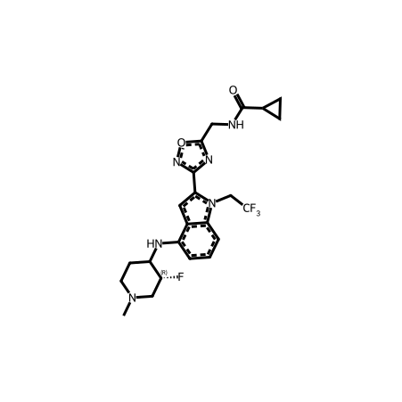 CN1CCC(Nc2cccc3c2cc(-c2noc(CNC(=O)C4CC4)n2)n3CC(F)(F)F)[C@H](F)C1